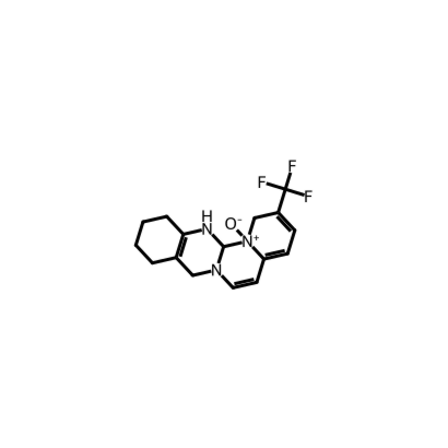 [O-][N+]12CC(C(F)(F)F)=CC=C1C=CN1CC3=C(CCCC3)NC12